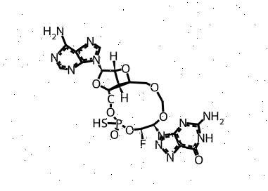 Nc1nc2c(nnn2[C@@H]2OCOCC34O[C@@H]5[C@H]3C4(COP(=O)(S)O[C@@H]2F)O[C@H]5n2cnc3c(N)ncnc32)c(=O)[nH]1